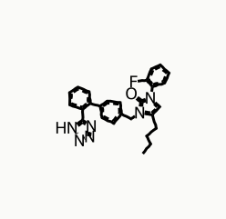 CCCCc1cn(-c2ccccc2F)c(=O)n1Cc1ccc(-c2ccccc2-c2nnn[nH]2)cc1